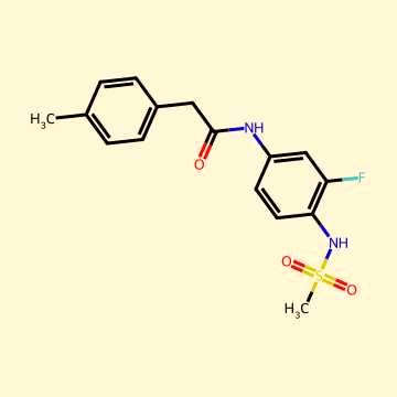 Cc1ccc(CC(=O)Nc2ccc(NS(C)(=O)=O)c(F)c2)cc1